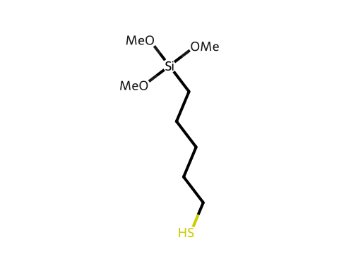 CO[Si](CCCCCS)(OC)OC